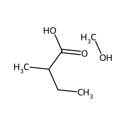 CCC(C)C(=O)O.CO